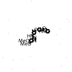 COc1cc2ncnc(Nc3ccc(OC4CCN(C(=O)Nc5ccccc5C)CC4)c(C)c3)c2cc1OC